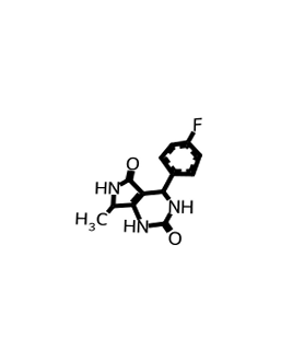 CC1NC(=O)C2=C1NC(=O)NC2c1ccc(F)cc1